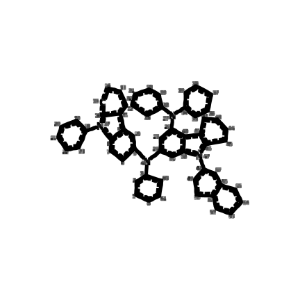 c1ccc(N(c2ccc3c(c2)c2ccccc2n3-c2ccccc2)c2cc(N(c3ccccc3)c3ccccc3)c3c4ccccc4n(-c4ccc5ccccc5c4)c3c2)cc1